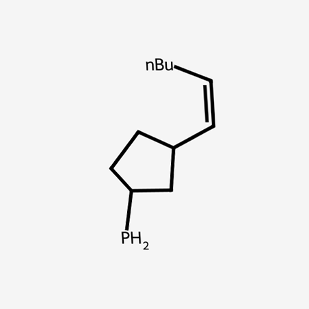 CCCC/C=C\C1CCC(P)C1